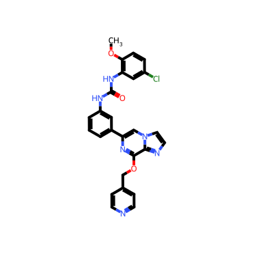 COc1ccc(Cl)cc1NC(=O)Nc1cccc(-c2cn3ccnc3c(OCc3ccncc3)n2)c1